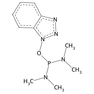 CN(C)P(On1nnc2ccccc21)N(C)C